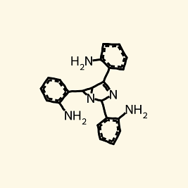 Nc1ccccc1C1=NC(c2ccccc2N)N2C1C2c1ccccc1N